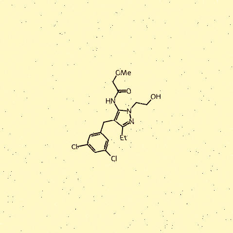 CCc1nn(CCO)c(NC(=O)COC)c1Cc1cc(Cl)cc(Cl)c1